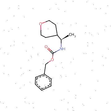 C[C@@H](NC(=O)OCc1ccccc1)C1CCOCC1